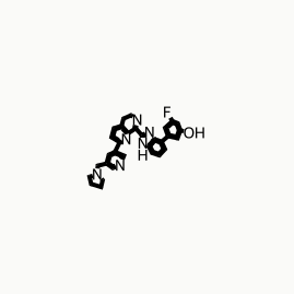 Oc1cc(F)cc(-c2cccc3[nH]c(C4=NCCc5ccc(-c6cncc(CN7CCCC7)c6)nc54)nc23)c1